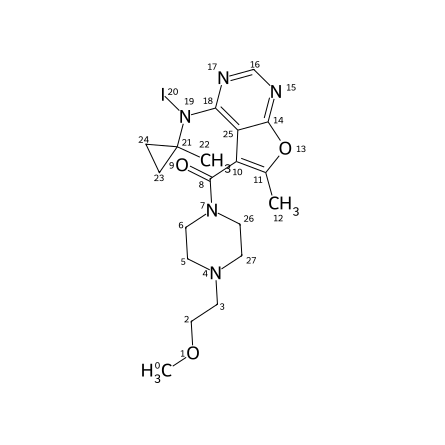 COCCN1CCN(C(=O)c2c(C)oc3ncnc(N(I)C4(C)CC4)c23)CC1